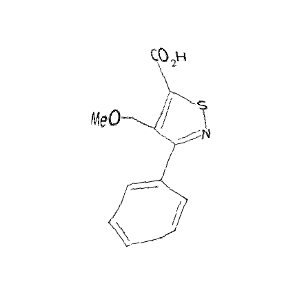 COc1c(-c2ccccc2)nsc1C(=O)O